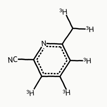 [3H]c1c(C#N)nc(C([3H])[3H])c([3H])c1[3H]